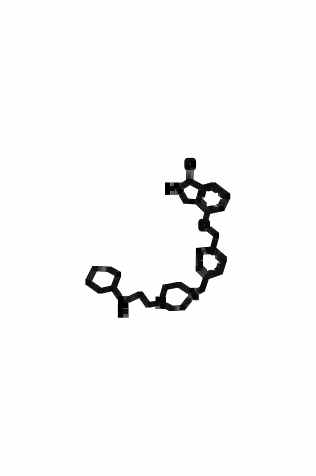 O=C1NCc2c(OCc3ccc(CN4CCN(CCNC5CCCCC5)CC4)cc3)cccc21